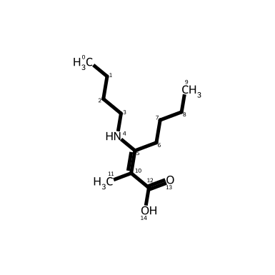 CCCCN/C(CCCC)=C(\C)C(=O)O